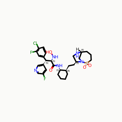 O=C(N[C@H]1CCCC[C@@H]1CC[C@H]1CN[C@@H]2CCCS(=O)(=O)N1C2)[C@@H](NO)[C@H](c1cncc(F)c1)c1ccc(Cl)c(F)c1